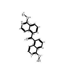 CCOc1nccc2c(C(=O)c3cccc4c(OCC)nccc34)cccc12